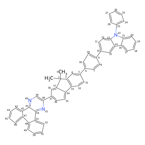 CC1(C)c2cc(-c3ccc(-c4ccc5c(c4)c4ccccc4n5-c4ccccc4)cc3)ccc2-c2ccc(-c3cnc4c5ccccc5c5ccccc5c4n3)cc21